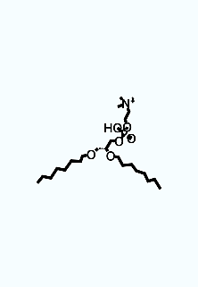 CCCCCCCCOC[C@H](COP(=O)(O)OCC[N+](C)(C)C)OCCCCCCCC